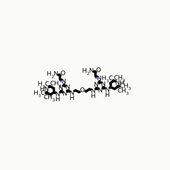 CC1(C)CC(Nc2nc(/N=C/C(N)=O)nc(NCCOCCNc3nc(/N=C/C(N)=O)nc(NC4CC(C)(C)NC(C)(C)C4)n3)n2)CC(C)(C)N1